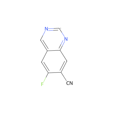 N#Cc1cc2n[c]ncc2cc1F